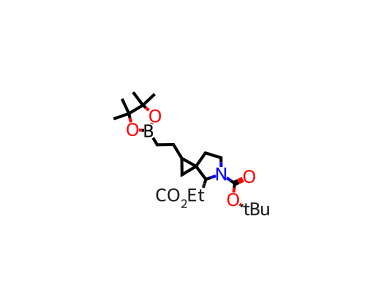 CCOC(=O)C1N(C(=O)OC(C)(C)C)CCC12CC2CCB1OC(C)(C)C(C)(C)O1